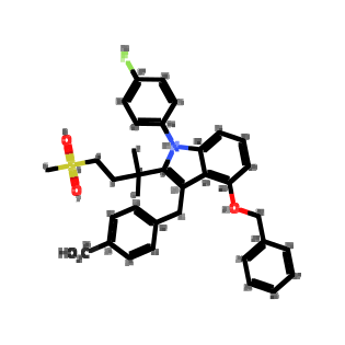 CC(C)(CCS(C)(=O)=O)c1c(Cc2ccc(C(=O)O)cc2)c2c(OCc3ccccc3)cccc2n1-c1ccc(F)cc1